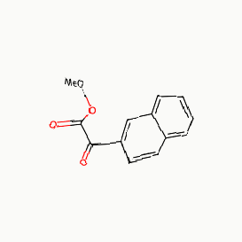 COOC(=O)C(=O)c1ccc2ccccc2c1